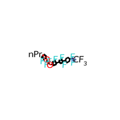 CCCc1ccc(OCC(F)(F)Oc2ccc(-c3cc(F)c(C4CCC(/C(F)=C(\F)C(F)(F)F)CC4)c(F)c3)c(F)c2)c(F)c1